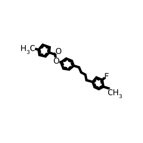 CCc1ccc(CCCCc2ccc(OC(=O)c3ccc(C)cc3)cc2)cc1F